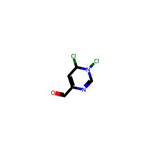 O=CC1=CC(Cl)N(Cl)C=N1